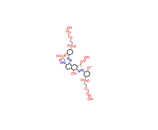 COc1ccc(S(=O)(=O)CCOSOOO)cc1/N=N/c1c(SOOO)cc2c(/N=N/c3ccc(S(=O)(=O)CCOSOOO)cc3)c(NCS(=O)(=O)O)ccc2c1O